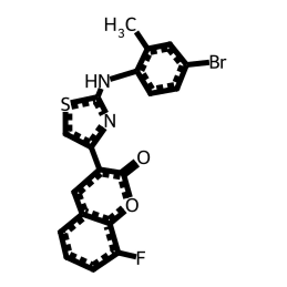 Cc1cc(Br)ccc1Nc1nc(-c2cc3cccc(F)c3oc2=O)cs1